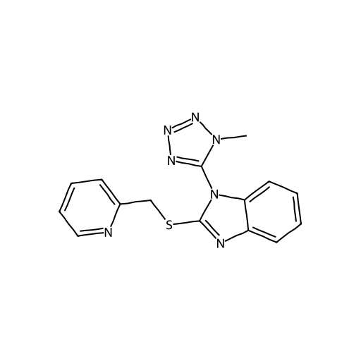 Cn1nnnc1-n1c(SCc2ccccn2)nc2ccccc21